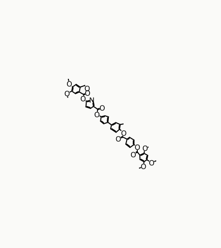 COc1cc(C=O)c(C(=O)Oc2ccc(C(=O)Oc3ccc(-c4ccc(OC(=O)c5ccc(OC(=O)c6cc(OC)c(OC)cc6OC)cc5)c(C)c4)cc3)cn2)cc1OC